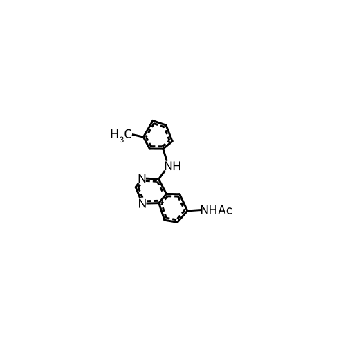 CC(=O)Nc1ccc2ncnc(Nc3cccc(C)c3)c2c1